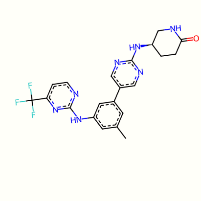 Cc1cc(Nc2nccc(C(F)(F)F)n2)cc(-c2cnc(N[C@@H]3CCC(=O)NC3)nc2)c1